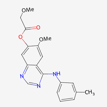 COCC(=O)Oc1cc2ncnc(Nc3cccc(C)c3)c2cc1OC